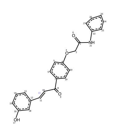 O=C(COc1ccc(C(=O)/C=C/c2cccc(O)c2)cc1)Nc1ccccc1